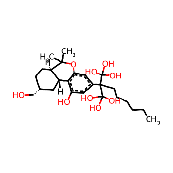 CCCCCCC(c1cc(O)c2c(c1)OC(C)(C)[C@@H]1CC[C@@H](CO)C[C@@H]21)(C(O)(O)O)C(O)(O)O